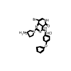 Cl.N[C@@H]1CCN(c2nc(Nc3ccc(Oc4ccccc4)cc3)c3c(=O)[nH]cc(Br)c3n2)C1